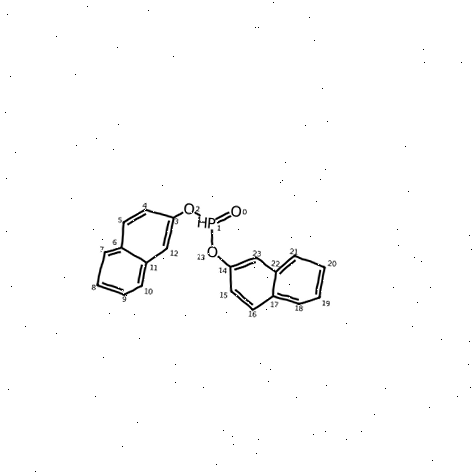 O=[PH](Oc1ccc2ccccc2c1)Oc1ccc2ccccc2c1